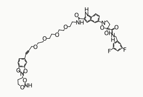 O=C(NCCOCCOCCOCCOCC#Cc1ccc2c(c1)ON(C1CCONO1)O2)c1cc2cc(N3CC[C@@](O)(C(=O)NCc4cc(F)cc(F)c4)O3)ccc2[nH]1